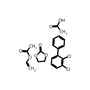 C=COC(C)=O.CC(=O)O.Clc1cccc(-c2ccccc2)c1Cl.O=C1OCCO1